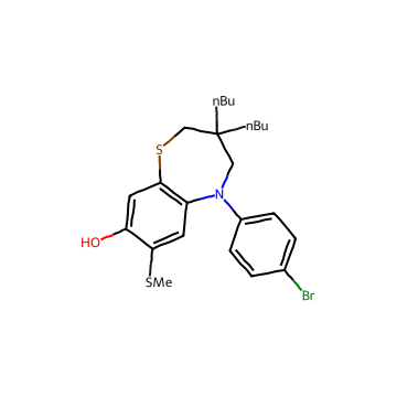 CCCCC1(CCCC)CSc2cc(O)c(SC)cc2N(c2ccc(Br)cc2)C1